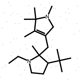 CCN1CCC(C(C)(C)C)C1(C)CC1=C(C)C(C)(C)N(C)C1